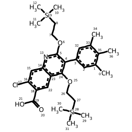 Cc1cc(-c2c(OCC[Si](C)(C)C)nc3cc(Cl)c(C(=O)O)cc3c2OCC[Si](C)(C)C)cc(C)c1C